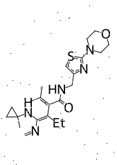 C=N/C(NC1(C)CC1)=C(\CC)C(C(=O)NCc1csc(N2CCOCC2)n1)=C(C)C